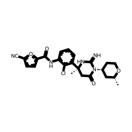 C[C@@H]1C[C@H](N2C(=N)N[C@](C)(c3cccc(NC(=O)c4ccc(C#N)o4)c3Cl)CC2=O)CCO1